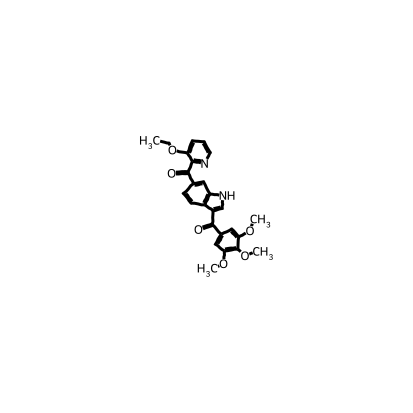 CCOc1cccnc1C(=O)c1ccc2c(C(=O)c3cc(OC)c(OC)c(OC)c3)c[nH]c2c1